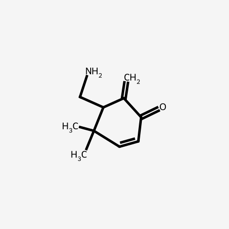 C=C1C(=O)C=CC(C)(C)C1CN